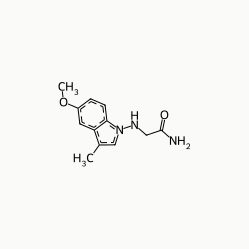 COc1ccc2c(c1)c(C)cn2NCC(N)=O